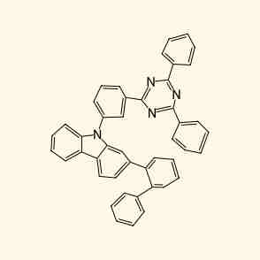 c1ccc(-c2nc(-c3ccccc3)nc(-c3cccc(-n4c5ccccc5c5ccc(-c6ccccc6-c6ccccc6)cc54)c3)n2)cc1